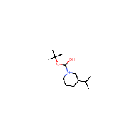 CC(C)C1CCCN(C(O)OC(C)(C)C)C1